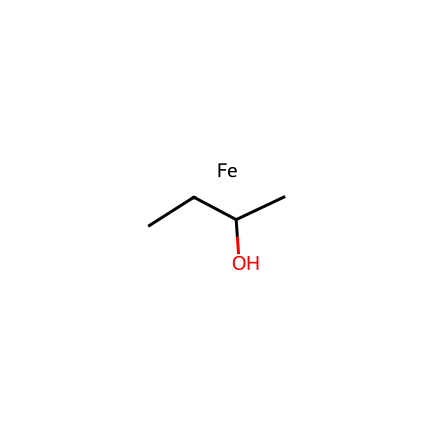 CCC(C)O.[Fe]